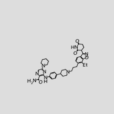 CCc1c(CCCN2CCC(c3ccc(Nc4nc(N5CCCCC5)cnc4C(N)=O)cc3)CC2)ccc2c(C3CCC(=O)NC3=O)noc12